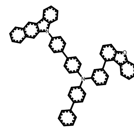 c1ccc(-c2ccc(N(c3ccc(-c4ccc(-n5c6ccccc6c6cc7ccccc7cc65)cc4)cc3)c3cccc(-c4cccc5oc6ccccc6c45)c3)cc2)cc1